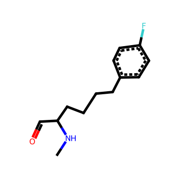 CNC(C=O)CCCCc1ccc(F)cc1